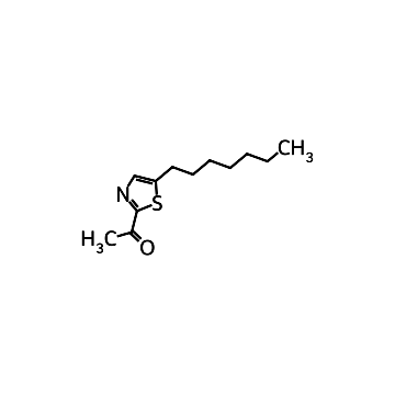 CCCCCCCc1cnc(C(C)=O)s1